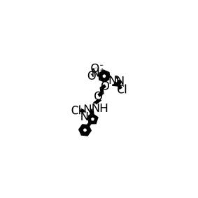 O=[N+]([O-])c1ccc(-n2cnc(Cl)c2)c(OCCOCCNc2nc(Cl)nc3c2CCC3c2ccccc2)c1